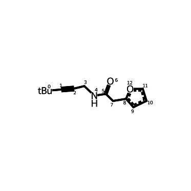 CC(C)(C)C#CCNC(=O)Cc1ccco1